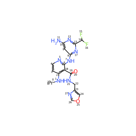 CC(C)Nc1ccnc(Nc2cc(N)nc(C(F)F)n2)c1C(=O)NCc1cocn1